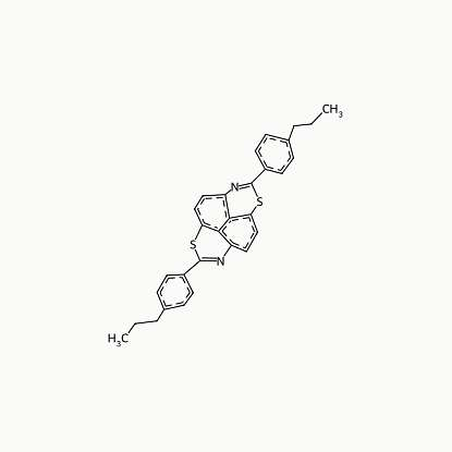 CCCc1ccc(C2=Nc3ccc4c5c(ccc(c35)S2)N=C(c2ccc(CCC)cc2)S4)cc1